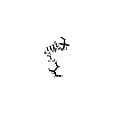 CCC(C)(C)C.CCC(C)C.CCC(C)CC.CCCC.CCCC(C)C.CCCCC.CCCCCC